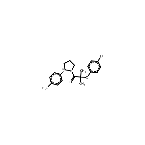 Cc1ccc([C@@H]2CCCN2C(=O)C(C)(C)Oc2ccc(Cl)cc2)cc1